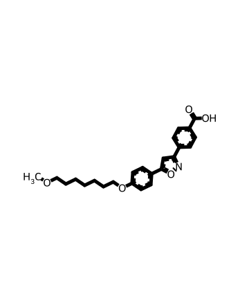 COCCCCCCCOc1ccc(-c2cc(-c3ccc(C(=O)O)cc3)no2)cc1